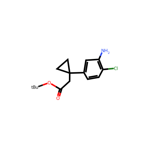 CC(C)(C)OC(=O)CC1(c2ccc(Cl)c(N)c2)CC1